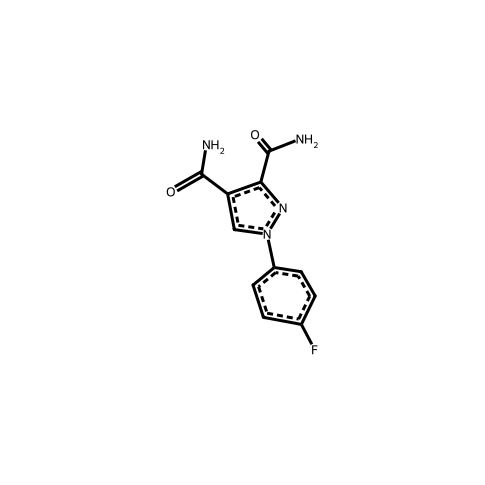 NC(=O)c1cn(-c2ccc(F)cc2)nc1C(N)=O